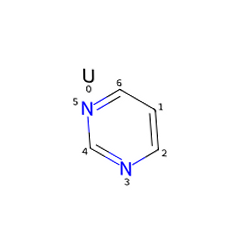 [U].c1cncnc1